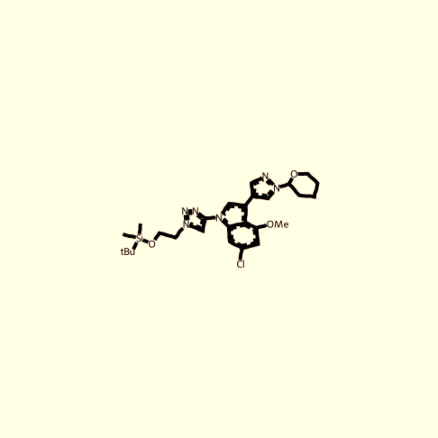 COc1cc(Cl)cc2c1c(-c1cnn(C3CCCCO3)c1)cn2-c1cn(CCO[Si](C)(C)C(C)(C)C)nn1